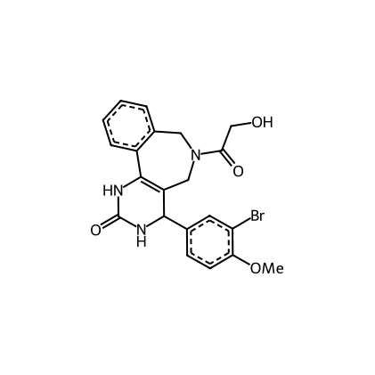 COc1ccc(C2NC(=O)NC3=C2CN(C(=O)CO)Cc2ccccc23)cc1Br